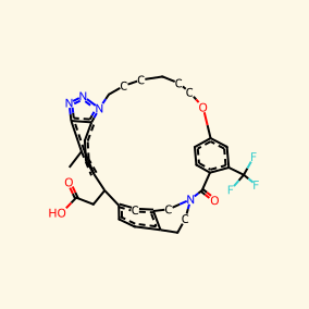 Cc1c2ccc3c1nnn3CCCCCCOc1ccc(c(C(F)(F)F)c1)C(=O)N1CCc3ccc(cc3C1)C2CC(=O)O